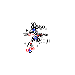 COCCC1(C)/C(=C\C2=C(O)C(=C/C3N(C(C)(C)CCOC(C)(C)C)c4ccc(S(=O)(=O)O)cc4C3(C)CCCS(=O)(=O)O)/C2=O)N(C(C)(C)CCOC(C)(C)CCC(=O)ON2C(=O)CCC2=O)c2ccc(S(=O)(=O)O)cc21